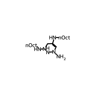 CCCCCCCCNC1=CN(N)NN(NCCCCCCCC)C1